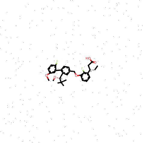 CC[C@@H](CC(=O)O)c1cccc(OCc2ccc(-c3cc(OC)ccc3F)c([C@@H](OC)C(C)(C)C)c2)c1F